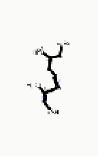 CCCC(C/C=C\C(C)=C/S)CC(C)CC